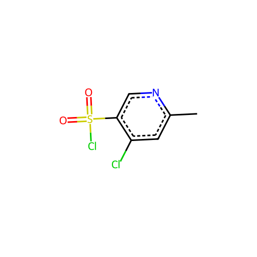 Cc1cc(Cl)c(S(=O)(=O)Cl)cn1